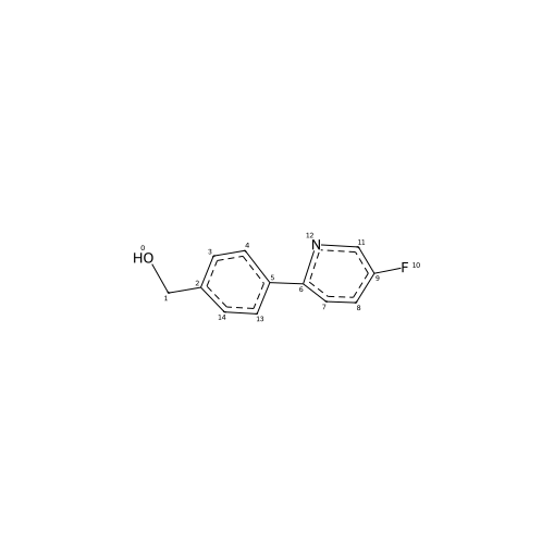 OCc1ccc(-c2ccc(F)cn2)cc1